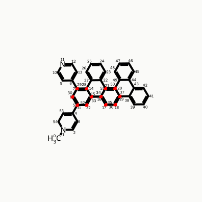 CN1C=CC(c2cc(-c3ccncc3)cc(-c3ccccc3-c3ccccc3-c3ccccc3-c3ccc4c5ccccc5c5ccccc5c4c3)c2)=CC1